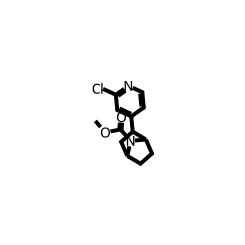 COC(=O)N1C2CCC1C(c1ccnc(Cl)c1)C2